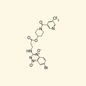 O=C(CCNc1n[n+]([O-])c2cc(Br)ccc2[n+]1[O-])OC1CCN(C(=O)c2cncc(C(F)(F)F)c2)CC1